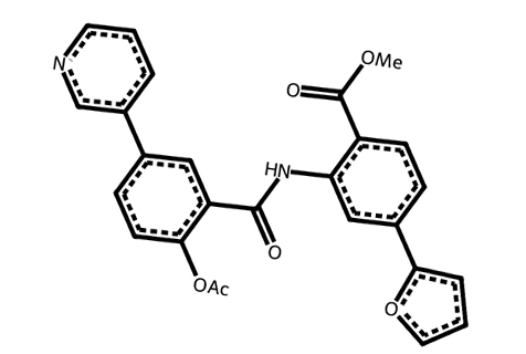 COC(=O)c1ccc(-c2ccco2)cc1NC(=O)c1cc(-c2cccnc2)ccc1OC(C)=O